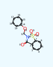 O=C1c2ccccc2S(=O)(=O)N1COc1ccccc1